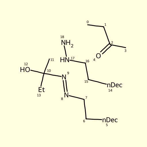 CCC(C)=O.CCCCCCCCCCCCN=NC(C)(O)CC.CCCCCCCCCCCCNN